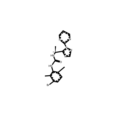 Cc1ccc(Br)c(C)c1NC(=O)N[C@@H](C)c1ncnn1-c1ncccn1